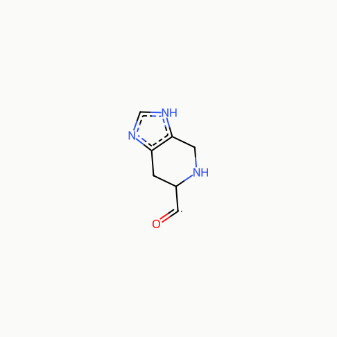 O=[C]C1Cc2nc[nH]c2CN1